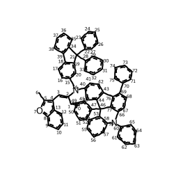 C=C/C(=C\c1c(C)oc2ccccc12)N(c1ccc2c(c1)C(c1ccccc1)(c1ccccc1)c1ccccc1-2)c1ccc2c(c1)C1(c3ccccc3)c3ccccc3N(c3ccccc3)c3ccc(-c4ccccc4)c-2c31